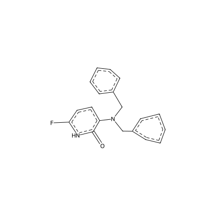 O=c1[nH]c(F)ccc1N(Cc1ccccc1)Cc1ccccc1